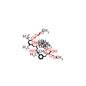 CC[C@H](/C=C(/C)[C@@H](O)C[C@H](C[C@H](O)C(C)(C)c1cccc(C[C@@H](OCOC)[C@H](OCOC)C(=O)O)c1)O[Si](C)(C)C(C)(C)C)COCOCCOC